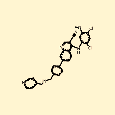 COc1cc(Nc2c(C#N)cnc3cc(-c4ccc(CNCc5ccncc5)cc4)ccc23)c(Cl)cc1Cl